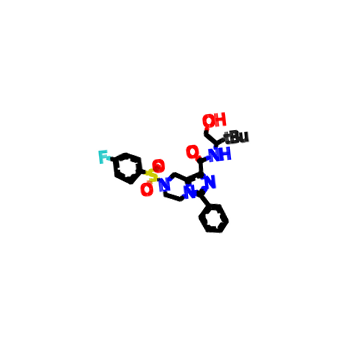 CC(C)(C)C(CO)NC(=O)c1nc(-c2ccccc2)n2c1CN(S(=O)(=O)c1ccc(F)cc1)CC2